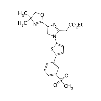 CCOC(=O)Cc1nc(C2=NC(C)(C)CO2)cn1-c1ccc(-c2cccc(S(C)(=O)=O)c2)s1